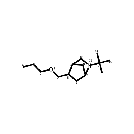 CCCOCC1CC2CC1CN2C(C)(C)C